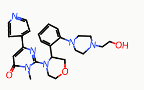 Cn1c(N2CCOCC2c2ccccc2N2CCN(CCO)CC2)nc(-c2ccncc2)cc1=O